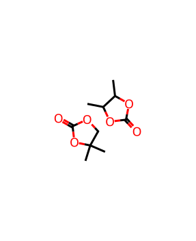 CC1(C)COC(=O)O1.CC1OC(=O)OC1C